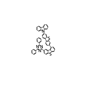 c1ccc(-c2nc(-c3ccccc3)nc(-c3ccc4sc5cccc(-c6ccc7c(c6)sc6cc(-n8c9ccccc9c9ccccc98)ccc67)c5c4c3)n2)cc1